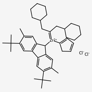 Cc1cc2c(cc1C(C)(C)C)-c1cc(C(C)(C)C)c(C)cc1[CH]2[Zr+2]([C]1=CC=CC1)=[C](CC1CCCCC1)CC1CCCCC1.[Cl-].[Cl-]